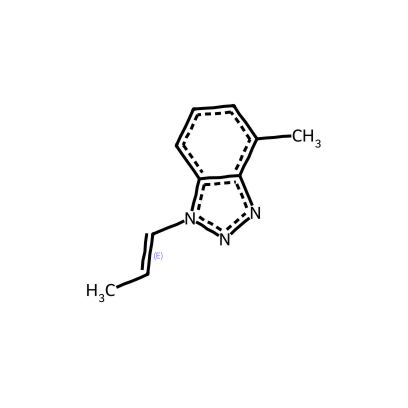 C/C=C/n1nnc2c(C)cccc21